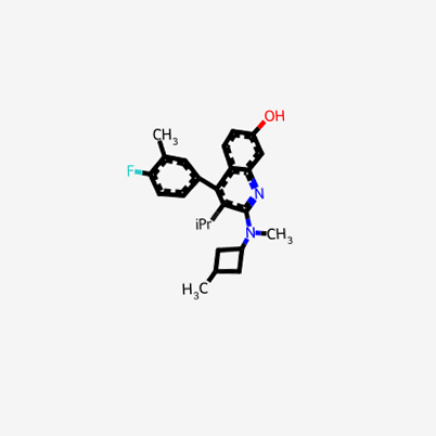 Cc1cc(-c2c(C(C)C)c(N(C)C3CC(C)C3)nc3cc(O)ccc23)ccc1F